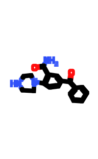 NC(=O)c1cc(C(=O)c2ccccc2)ccc1N1CCNCC1